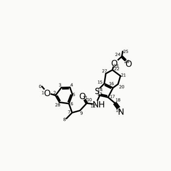 COc1cccc(C(C)CC(=O)Nc2sc3c(c2C#N)CCC(OC(C)=O)C3)c1